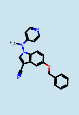 CN(c1ccncc1)n1cc(C#N)c2cc(OCc3ccccc3)ccc21